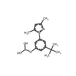 Cc1cc(C)n(-c2cc(OB(O)O)cc(C(C)(C)C)c2)n1